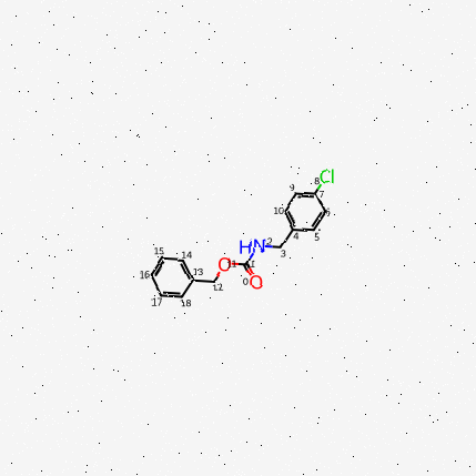 O=C(NCc1[c]cc(Cl)cc1)OCc1ccccc1